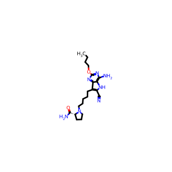 CCCCOc1nc(N)c2[nH]c(C#N)c(CCCCCN3CCC[C@@H]3C(N)=O)c2n1